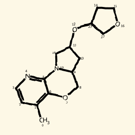 Cc1ccnc2c1OCC1CC(OC3CCOC3)CN21